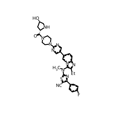 CCc1nc2ccc(-c3cnc(N4CCN(C(=O)[C@@H]5C[C@@H](O)CN5)CC4)nc3)cn2c1N(C)c1nc(-c2ccc(F)cc2)c(C#N)s1